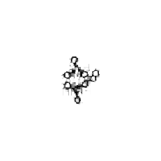 C1=c2ccccc2=C(c2ccc(C3NC(c4ccccc4)=NC(c4ccccc4)N3)cc2)C(c2ccc(C3NC(c4ccccc4)NC(c4ccccc4)N3)cc2)C1